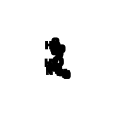 Cc1ccc(-c2c(C)oc(C)c2C)cc1N(CC1CCCCN(c2ccc3c(c2)C(=O)N(C2CCC(=O)NC2=O)C3=O)CCCNCC1)c1ccc(C2(C#N)CC2)cc1